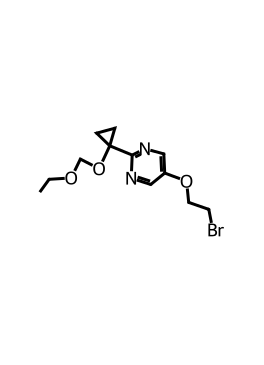 CCOCOC1(c2ncc(OCCBr)cn2)CC1